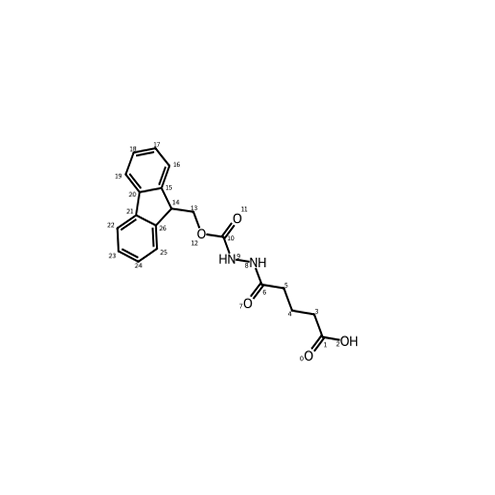 O=C(O)CCCC(=O)NNC(=O)OCC1c2ccccc2-c2ccccc21